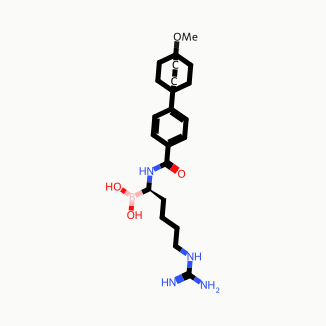 COC12CCC(c3ccc(C(=O)N[C@@H](CCCCNC(=N)N)B(O)O)cc3)(CC1)CC2